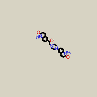 O=C1CCc2cc(C(=O)CN3CCN(c4ccc5[nH]c(=O)ccc5c4)CC3)ccc2N1